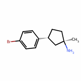 C[C@@]1(N)CC[C@@H](c2ccc(Br)cc2)C1